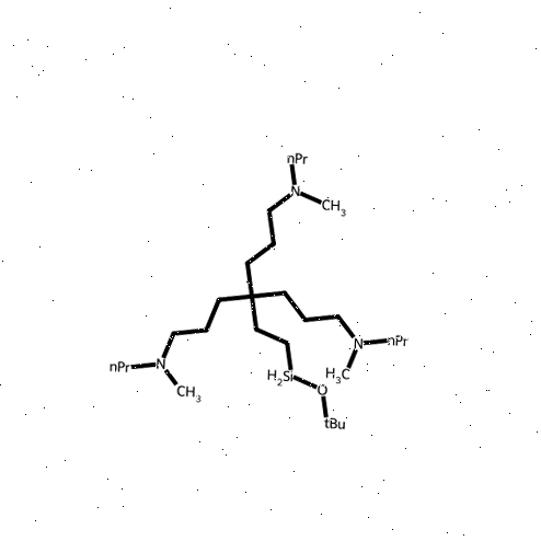 CCCN(C)CCCC(CCCN(C)CCC)(CCCN(C)CCC)CC[SiH2]OC(C)(C)C